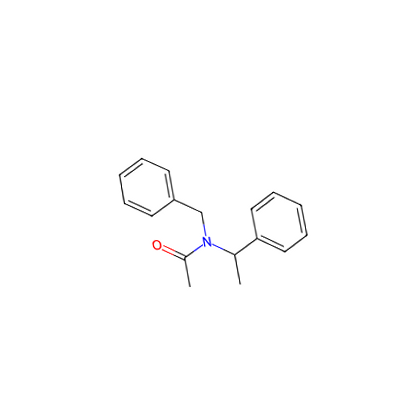 CC(=O)N(Cc1ccccc1)C(C)c1ccccc1